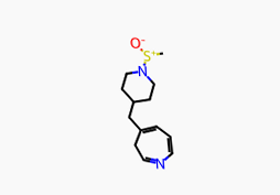 C[S+]([O-])N1CCC(CC2=CC=CN=CC2)CC1